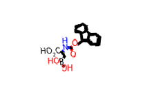 O=C(N[C@@H](CB(O)O)C(=O)O)OCC1c2ccccc2-c2ccccc21